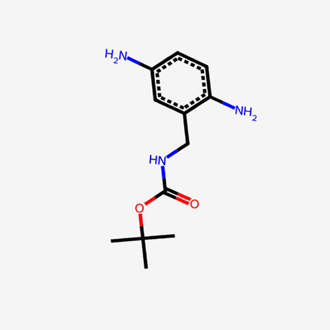 CC(C)(C)OC(=O)NCc1cc(N)ccc1N